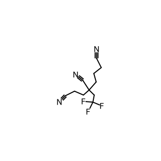 N#CCCCC(C#N)(CCC#N)CC(F)(F)F